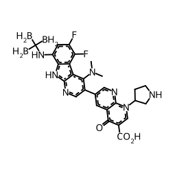 BC(B)(B)Nc1cc(F)c(F)c2c1[nH]c1ncc(-c3cnc4c(c3)c(=O)c(C(=O)O)cn4C3CCNC3)c(N(C)C)c12